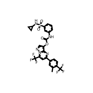 Cc1cc(-c2cc(C(F)(F)F)n3ncc(OC(=O)Nc4cccc(S(=O)(=O)NC5CC5)c4)c3n2)ccc1C(F)(F)F